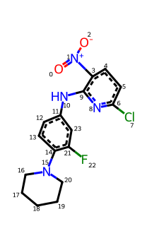 O=[N+]([O-])c1ccc(Cl)nc1Nc1ccc(N2CCCCC2)c(F)c1